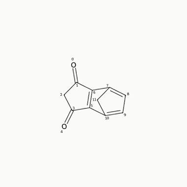 O=C1CC(=O)C2=C1C1=CC=C2C1